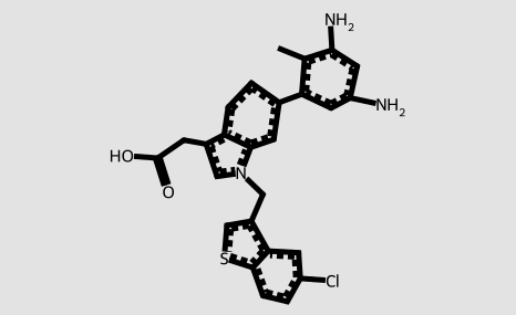 Cc1c(N)cc(N)cc1-c1ccc2c(CC(=O)O)cn(Cc3csc4ccc(Cl)cc34)c2c1